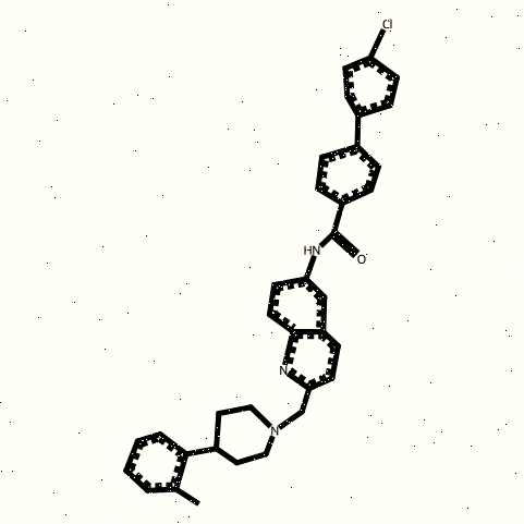 Cc1ccccc1C1CCN(Cc2ccc3cc(NC(=O)c4ccc(-c5ccc(Cl)cc5)cc4)ccc3n2)CC1